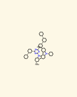 CCCCc1ccc2c(c1)c1c(ccc3c4cc(CCCC)ccc4n(-c4nc(-c5ccc(-c6cccc(-c7ccccc7)c6)cc5)nc(-c5cccc(-c6ccccc6)c5)n4)c31)n2-c1ccccc1